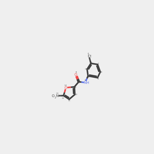 CCc1cccc(NC(=O)c2ccc([N+](=O)[O-])o2)c1